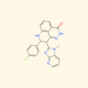 Cn1c(C2c3n[nH]c(=O)c4cccc(c34)NC2c2ccc(F)cc2)nc2ncccc21